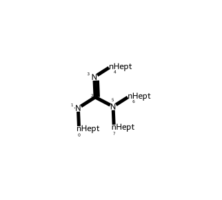 CCCCCCC[N]C(=NCCCCCCC)N(CCCCCCC)CCCCCCC